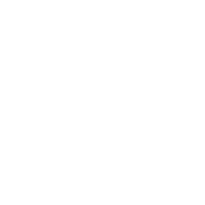 c1cc2c3c(cc4ccc(B(C5CCCCC5)C5CCCCC5)cc4c3c1)-c1ccc(B(C3CCCCC3)C3CCCCC3)cc1O2